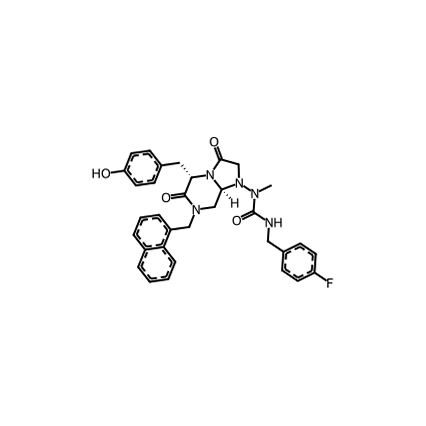 CN(C(=O)NCc1ccc(F)cc1)N1CC(=O)N2[C@@H](Cc3ccc(O)cc3)C(=O)N(Cc3cccc4ccccc34)C[C@@H]21